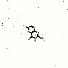 CCc1cnc2nc(N)[nH]c(=O)c2n1